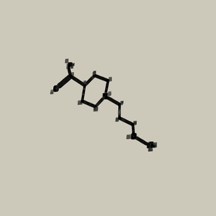 CC(C)C(=O)C1CCN(CCCOC(C)(C)C)CC1